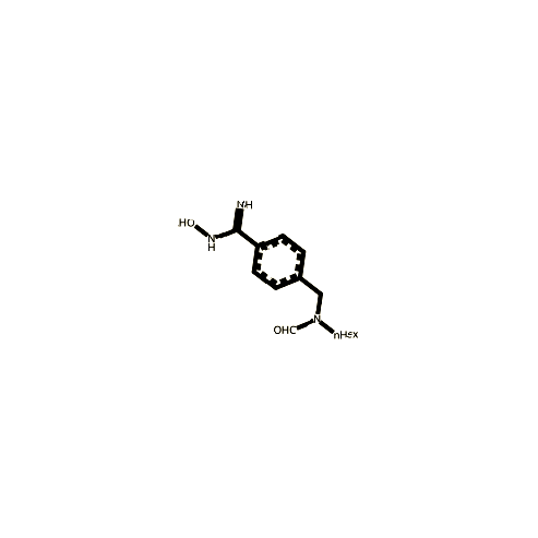 CCCCCCN([C]=O)Cc1ccc(C(=N)NO)cc1